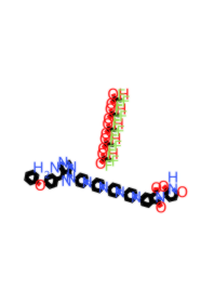 Nc1ncnc2c1c(-c1ccc(Oc3ccccc3)cc1)nn2C1CCN(C2CCN(C3CCN(C4CCN(c5ccc6c(c5)C(=O)N(C5CCC(=O)NC5=O)C6=O)CC4)CC3)CC2)CC1.O=C(O)C(F)(F)F.O=C(O)C(F)(F)F.O=C(O)C(F)(F)F.O=C(O)C(F)(F)F.O=C(O)C(F)(F)F